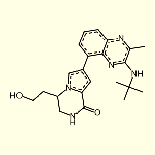 Cc1nc2cccc(-c3cc4n(c3)C(CCO)CNC4=O)c2nc1NC(C)(C)C